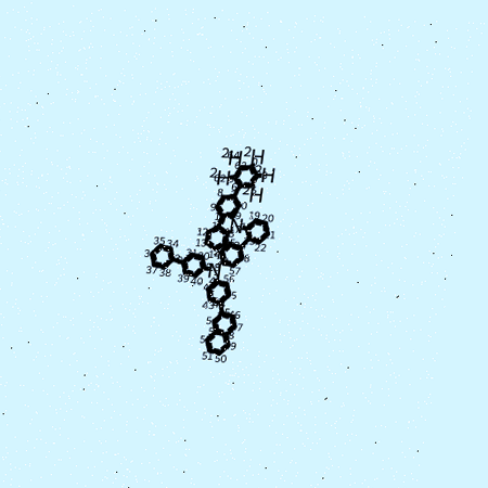 [2H]c1c([2H])c([2H])c(-c2ccc3c4ccccc4n(-c4ccccc4-c4ccc(N(c5ccc(-c6ccccc6)cc5)c5ccc(-c6ccc7ccccc7c6)cc5)cc4)c3c2)c([2H])c1[2H]